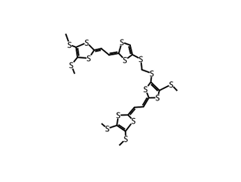 CSC1=C(SC)SC(=CC=C2SC=C(SCSC3=C(SC)SC(=CC=C4SC(SC)=C(SC)S4)S3)S2)S1